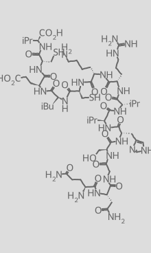 CC[C@H](C)[C@H](NC(=O)[C@H](CS)NC(=O)[C@H](CCCCN)NC(=O)[C@H](CCCNC(=N)N)NC(=O)[C@@H](NC(=O)[C@@H](NC(=O)[C@H](Cc1c[nH]cn1)NC(=O)[C@H](CO)NC(=O)CNC(=O)[C@H](CC(N)=O)NC(=O)[C@@H](N)CCC(N)=O)C(C)C)C(C)C)C(=O)N[C@@H](CCC(=O)O)C(=O)N[C@@H](CS)C(=O)N[C@H](C(=O)O)C(C)C